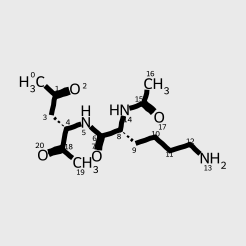 CC(=O)C[C@H](NC(=O)[C@@H](CCCCN)NC(C)=O)C(C)=O